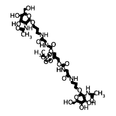 COP(=O)(O)OC(COC(=O)NCC(=O)NCCCO[C@@H]1O[C@H](CO)[C@H](O)[C@H](O)[C@H]1NC(C)=O)COC(=O)NCC(=O)NCCCO[C@@H]1O[C@H](CO)[C@H](O)[C@H](O)[C@H]1NC(C)=O